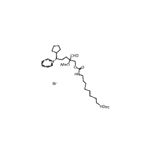 CCCCCCCCCCCCCCCCCCNC(=O)OCC(C=O)(CCC(C1CCCC1)[n+]1ccccc1)OC.[Br-]